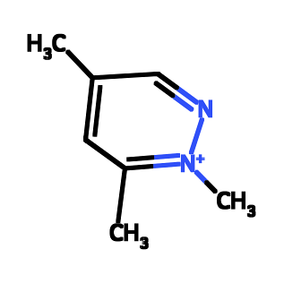 Cc1cn[n+](C)c(C)c1